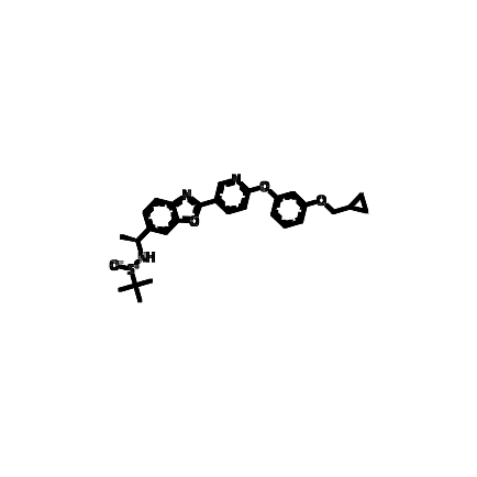 C[C@H](N[S+]([O-])C(C)(C)C)c1ccc2nc(-c3ccc(Oc4cccc(OCC5CC5)c4)nc3)oc2c1